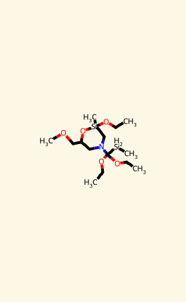 CCOC(OCC)([SiH2]C)N1CC(COC)O[Si](C)(OCC)C1